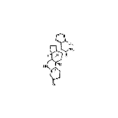 C[C@]12CCC(=O)C=C1NC[C@H]1[C@@H]3CCC[C@@]3(C(C(N)=O)c3ccccc3C(F)(F)F)CC[C@@H]12